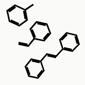 C(=Cc1ccccc1)c1ccccc1.C=Cc1ccccc1.Cc1ccccc1